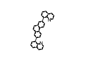 c1cnc2c(-c3ccc4c(ccc5cc(-c6cccc7cccnc67)ccc54)c3)cccc2c1